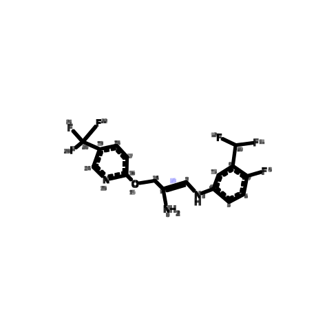 N/C(=C\Nc1ccc(F)c(C(F)F)c1)COc1ccc(C(F)(F)F)cn1